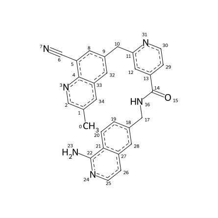 Cc1cnc2c(C#N)cc(Cc3cc(C(=O)NCc4ccc5c(N)nccc5c4)ccn3)cc2c1